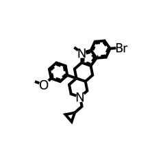 COc1cccc(C23CCN(CC4CC4)CC2Cc2c(n(C)c4ccc(Br)cc24)C3)c1